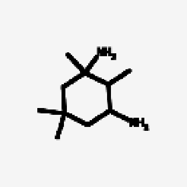 CC1C(N)CC(C)(C)CC1(C)N